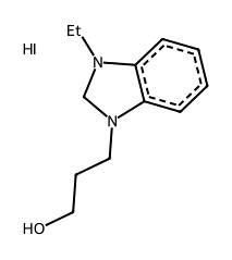 CCN1CN(CCCO)c2ccccc21.I